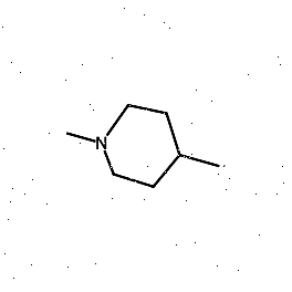 [CH2]C1CCN(C)CC1